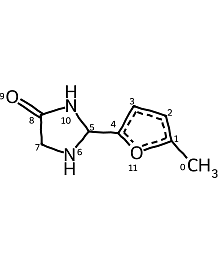 Cc1ccc(C2NCC(=O)N2)o1